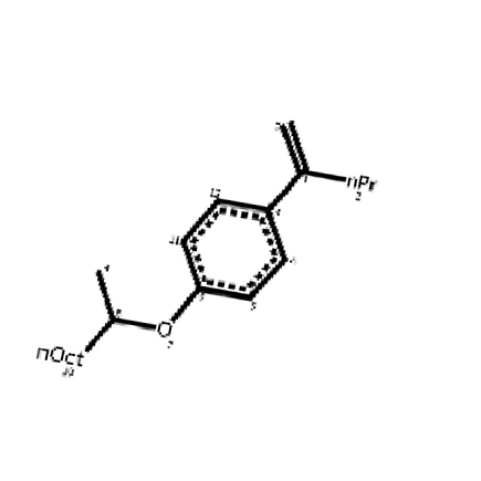 C=C(CCC)c1ccc(OC(C)CCCCCCCC)cc1